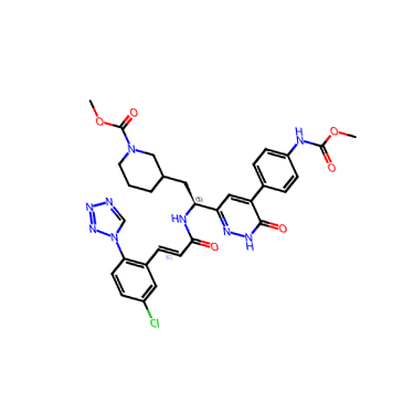 COC(=O)Nc1ccc(-c2cc([C@H](CC3CCCN(C(=O)OC)C3)NC(=O)/C=C/c3cc(Cl)ccc3-n3cnnn3)n[nH]c2=O)cc1